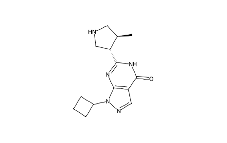 C[C@@H]1CNC[C@H]1c1nc2c(cnn2C2CCC2)c(=O)[nH]1